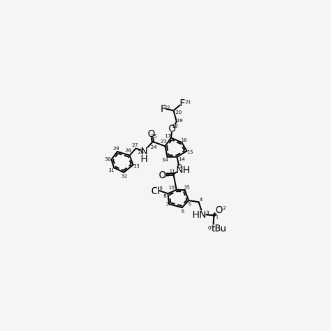 CC(C)(C)C(=O)NCc1ccc(Cl)c(C(=O)Nc2ccc(OCC(F)F)c(C(=O)NCc3ccccc3)c2)c1